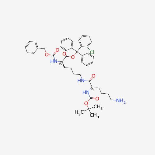 CC(C)(C)OC(=O)N[C@@H](CCCCN)C(=O)NCCCC[C@@H](NC(=O)OCc1ccccc1)C(=O)OC(c1ccccc1)(c1ccccc1)c1ccccc1Cl